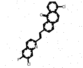 O=c1c2cc(/C=C/c3ccc4cc(F)c(Cl)cc4n3)ccc2ccc2c(Cl)cccc12